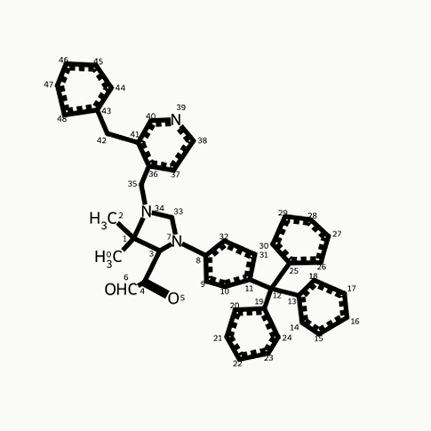 CC1(C)C(C(=O)C=O)N(c2ccc(C(c3ccccc3)(c3ccccc3)c3ccccc3)cc2)CN1Cc1ccncc1Cc1ccccc1